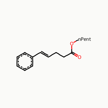 CCCCCOC(=O)CCC=Cc1ccccc1